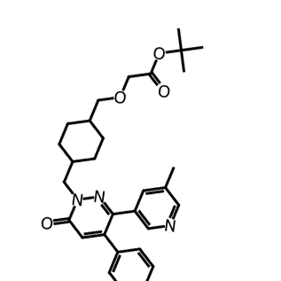 Cc1cncc(-c2nn(CC3CCC(COCC(=O)OC(C)(C)C)CC3)c(=O)cc2-c2ccccc2)c1